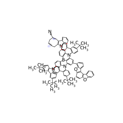 CC(C)(C)c1ccc(N2c3cc(-n4c5c(c6ccccc64)/C=C(/C#N)C/C=C\C5)ccc3B3c4ccc(-n5c6ccc(C(C)(C)C)cc6c6cc(C(C)(C)C)ccc65)cc4N(c4ccc(C(C)(C)C)cc4-c4ccccc4)c4cc(-c5cccc6c5oc5ccc7oc8ccccc8c7c56)cc2c43)c(-c2ccccc2)c1